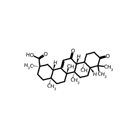 CC1(C)C(=O)CC[C@]2(C)[C@H]3C(=O)C=C4[C@H]5C[C@](C)(C(=O)O)CC[C@]5(C)CC[C@@]4(C)[C@]3(C)CC[C@@H]12